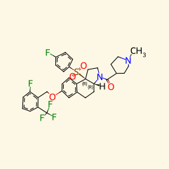 CN1CCC(C(=O)N2CC[C@@]3(S(=O)(=O)c4ccc(F)cc4)c4ccc(OCc5c(F)cccc5C(F)(F)F)cc4CC[C@@H]23)CC1